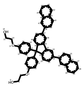 OCCOc1ccc(C2(c3ccc(OCCO)cc3)c3ccc(-c4ccc5ccccc5c4)cc3-c3cc(-c4ccc5ccccc5c4)ccc32)cc1